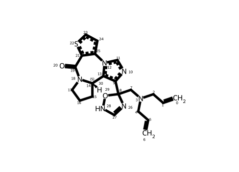 C=CCN(CC=C)CC1(c2ncn3c2[C@@H]2CCCN2C(=O)c2sccc2-3)N=CNO1